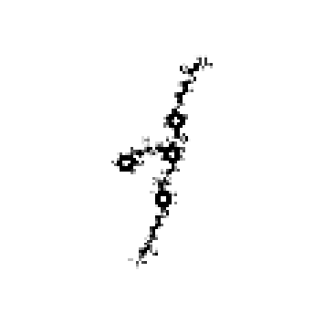 C=CC(=O)OCCCCOc1ccc(C(=O)OCCc2ccc(OC(=O)c3ccc(OCCCCOC(=O)C=C)cc3)c(/C=N/Nc3nc4ccccc4s3)c2)cc1